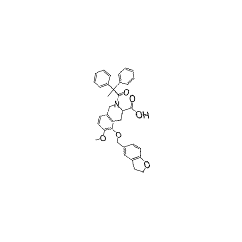 COc1ccc2c(c1OCc1ccc3c(c1)CCO3)CC(C(=O)O)N(C(=O)C(C)(c1ccccc1)c1ccccc1)C2